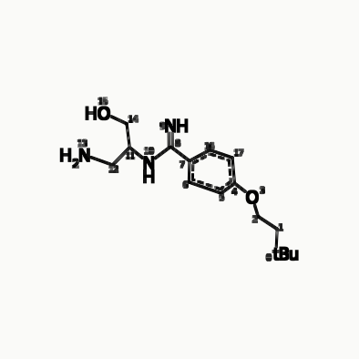 CC(C)(C)CCOc1ccc(C(=N)NC(CN)CO)cc1